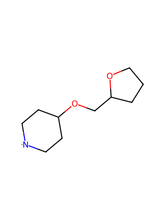 C1COC(COC2CC[N]CC2)C1